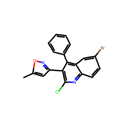 Cc1cc(-c2c(Cl)nc3ccc(Br)cc3c2-c2ccccc2)no1